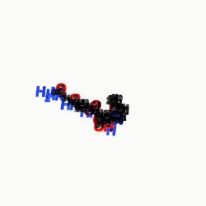 NC(=O)NCCCCC(=O)Nc1ccc(COC(=O)NCC2OB(O)c3cc(Nc4ncc5cccc(OC6CCCCC6)c5n4)ccc32)cc1